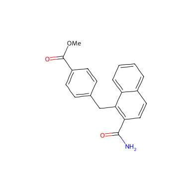 COC(=O)c1ccc(Cc2c(C(N)=O)ccc3ccccc23)cc1